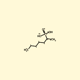 CCCCCC(C)P(=O)(O)O